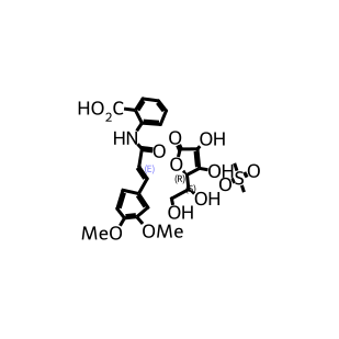 COc1ccc(/C=C/C(=O)Nc2ccccc2C(=O)O)cc1OC.CS(C)(=O)=O.O=C1O[C@H]([C@@H](O)CO)C(O)=C1O